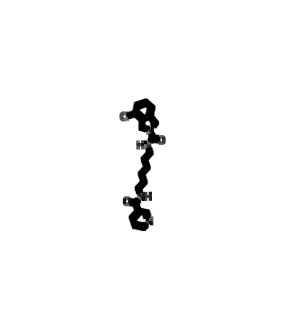 O=C(NCCCCCCNC(=O)N1Cc2cccc(Cl)c2C1)c1cccnc1